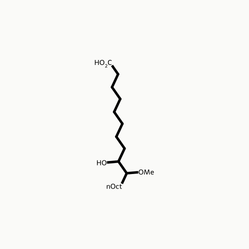 CCCCCCCCC(OC)C(O)CCCCCCCC(=O)O